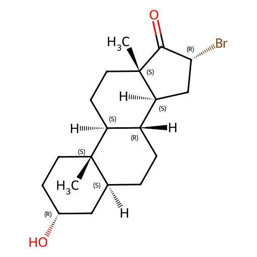 C[C@]12CC[C@@H](O)C[C@@H]1CC[C@@H]1[C@@H]2CC[C@]2(C)C(=O)[C@H](Br)C[C@@H]12